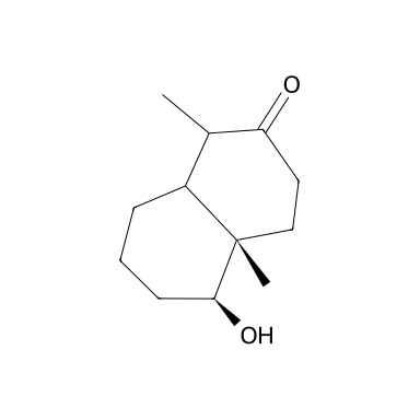 CC1C(=O)CC[C@@]2(C)C1CCC[C@@H]2O